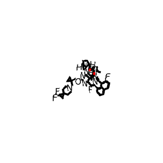 CC(C)[Si](C#Cc1c(F)ccc2cccc(-c3nc4c5c(nc(OCC6(CN7CCC8(CC7)CC8(F)F)CC6)nc5c3F)N3C[C@H]5CC[C@H](C5)[C@@H]3[C@@H](C)C4)c12)(C(C)C)C(C)C